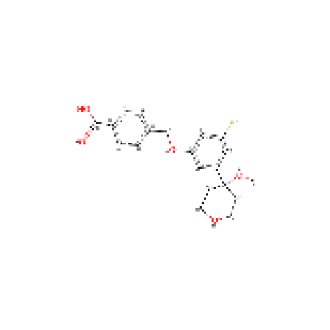 COC1(c2cc(F)cc(OCc3ccc(C(=O)O)cc3)c2)CCOCC1